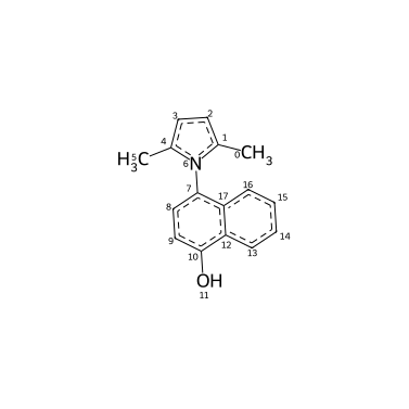 Cc1ccc(C)n1-c1ccc(O)c2ccccc12